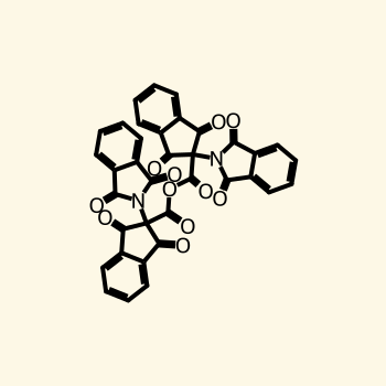 O=C1c2ccccc2C(=O)N1C1(C(=O)OC(=O)C2(N3C(=O)c4ccccc4C3=O)C(=O)c3ccccc3C2=O)C(=O)c2ccccc2C1=O